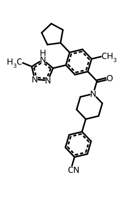 Cc1nnc(-c2cc(C(=O)N3CCC(c4ccc(C#N)cc4)CC3)c(C)cc2C2CCCC2)[nH]1